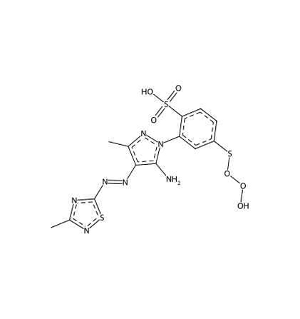 Cc1nsc(N=Nc2c(C)nn(-c3cc(SOOO)ccc3S(=O)(=O)O)c2N)n1